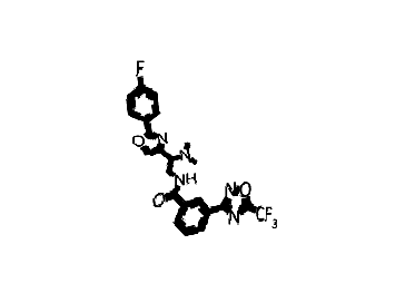 CN(C)C(CNC(=O)c1cccc(-c2noc(C(F)(F)F)n2)c1)c1coc(-c2ccc(F)cc2)n1